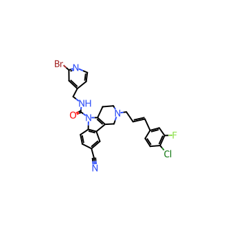 N#Cc1ccc2c(c1)c1c(n2C(=O)NCc2ccnc(Br)c2)CCN(CC=Cc2ccc(Cl)c(F)c2)C1